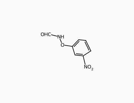 O=CNOc1cccc([N+](=O)[O-])c1